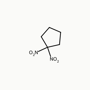 O=[N+]([O-])C1([N+](=O)[O-])CCCC1